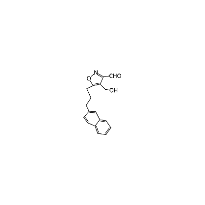 O=Cc1noc(CCCc2ccc3ccccc3c2)c1CO